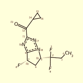 CCC(F)(F)[C@@H]1C[C@H](F)c2nc(C(=O)C3CC3)nn21